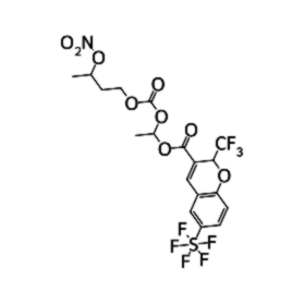 CC(CCOC(=O)OC(C)OC(=O)C1=Cc2cc(S(F)(F)(F)(F)F)ccc2OC1C(F)(F)F)O[N+](=O)[O-]